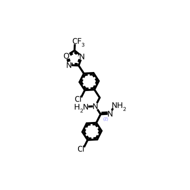 N/N=C(/c1ccc(Cl)cc1)N(N)Cc1ccc(-c2noc(C(F)(F)F)n2)cc1Cl